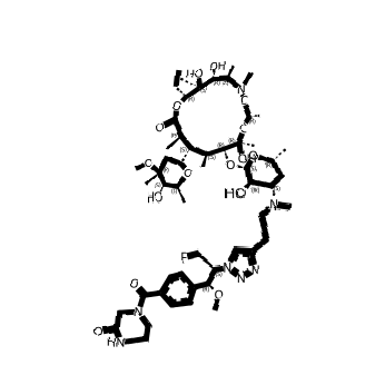 CC[C@H]1OC(=O)[C@H](C)[C@@H](C2C[C@@](C)(OC)[C@@H](O)[C@H](C)O2)[C@H](C)[C@@H](O[C@@H]2O[C@H](C)C[C@H](N(C)CCc3cn([C@H](CF)[C@H](OC)c4ccc(C(=O)N5CCNC(=O)C5)cc4)nn3)[C@H]2O)[C@](C)(O)C[C@@H](C)CN(C)[C@H](C)[C@@H](O)[C@]1(C)O